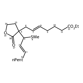 CCCCCC=CC(SC)C1(CC=CCCCC(=O)OCC)CCOC1=O